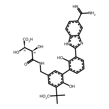 CC(C)(C(=O)O)c1cc(CNC(=O)[C@H](O)[C@@H](O)C(=O)O)cc(-c2cccc(-c3nc4cc(C(=N)N)ccc4[nH]3)c2O)c1O